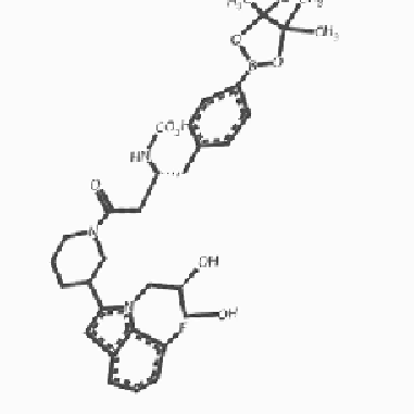 CC1(C)OB(c2ccc(C[C@H](CC(=O)N3CCCC(c4cc5cccc(F)c5n4C[C@@H](O)CO)C3)NC(=O)O)cc2)OC1(C)C